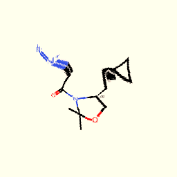 CC1(C)OC[C@H](C=C2CC2)N1C(=O)C=[N+]=[N-]